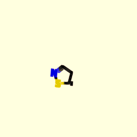 [C]1CC=NS1